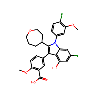 COc1cc(-n2c(C3CCCOCC3)c(-c3ccc(OC)c(C(=O)O)c3)c3c(O)cc(F)cc32)ccc1F